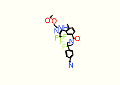 CC(=O)OCc1nc(C(F)(F)F)c(-c2cc(C(=O)N3CC(F)(c4ccc(C#N)cc4)C3)ccc2C)[nH]1